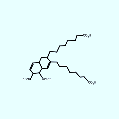 CCCCCC1C=CC2CC(CCCCCCCC(=O)O)C(CCCCCCCC(=O)O)=CC2C1CCCCC